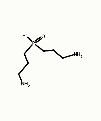 CCP(=O)(CCCN)CCCN